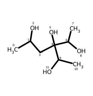 CC(O)[CH]C(O)(C(C)O)C(C)O